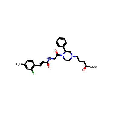 COC(=O)CCCN1CCN(C(=O)CNC(=O)/C=C/c2ccc(C(F)(F)F)cc2F)C(c2ccccc2)C1